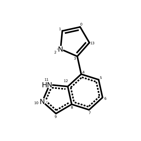 C1=C[N]C(c2cccc3cn[nH]c23)=C1